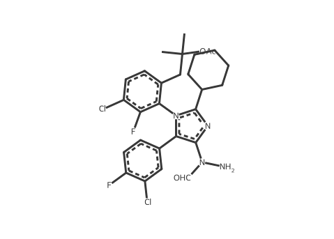 CC(=O)OC(C)(C)Cc1ccc(Cl)c(F)c1-n1c(C2CCCCC2)nc(N(N)C=O)c1-c1ccc(F)c(Cl)c1